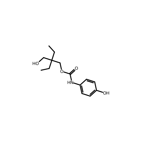 CCC(CC)(CO)COC(=O)Nc1ccc(O)cc1